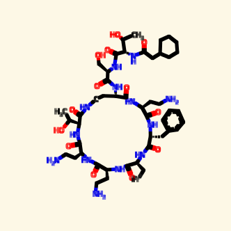 CC(C)C[C@@H]1NC(=O)[C@@H](Cc2ccccc2)NC(=O)[C@H](CCN)NC(=O)[C@@H](NC(=O)[C@@H](CO)NC(=O)[C@@H](NC(=O)CC2CCCCC2)C(C)O)CCNC(=O)[C@H](C(C)O)NC(=O)[C@H](CCN)NC(=O)[C@H](CCN)NC1=O